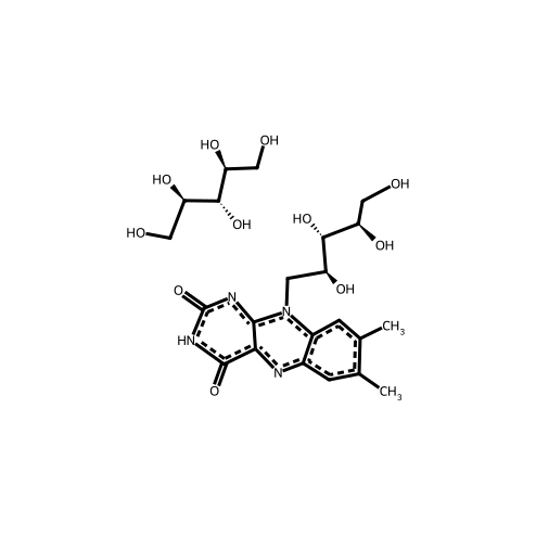 Cc1cc2nc3c(=O)[nH]c(=O)nc-3n(C[C@H](O)[C@H](O)[C@H](O)CO)c2cc1C.OC[C@@H](O)[C@@H](O)[C@@H](O)CO